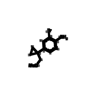 COCC1(c2cnc(N)c(Br)c2)CC1